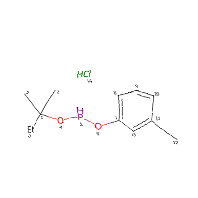 CCC(C)(C)OPOc1cccc(C)c1.Cl